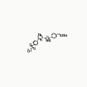 CNCc1ccc(-c2nnc(-c3cncc(-c4ccc(S(=O)(=O)C5COC5)cc4)n3)o2)cc1